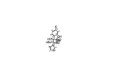 CCCCC(CCCC)(n1cncn1)C(O)(c1ccc(F)cc1)P(=O)(O)O